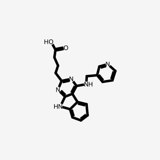 O=C(O)CCCc1nc(NCc2cccnc2)c2c(n1)[nH]c1ccccc12